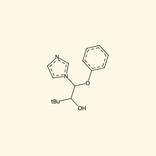 CC(C)(C)C(O)C(Oc1ccccc1)n1ccnc1